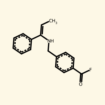 C/C=C(\NCc1ccc(C(=O)F)cc1)c1ccccc1